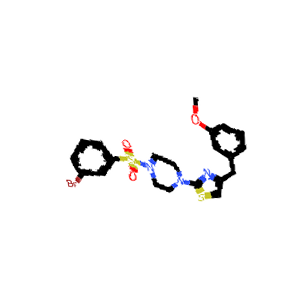 COc1cccc(Cc2csc(N3CCN(S(=O)(=O)c4cccc(Br)c4)CC3)n2)c1